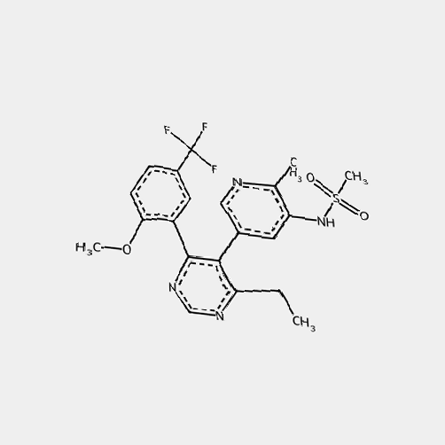 CCc1ncnc(-c2cc(C(F)(F)F)ccc2OC)c1-c1cnc(C)c(NS(C)(=O)=O)c1